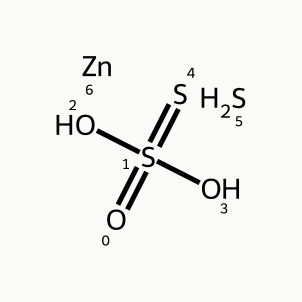 O=S(O)(O)=S.S.[Zn]